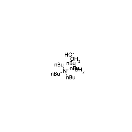 BCCCC.CCCC[N+](CCCC)(CCCC)CCCC.O.[OH-]